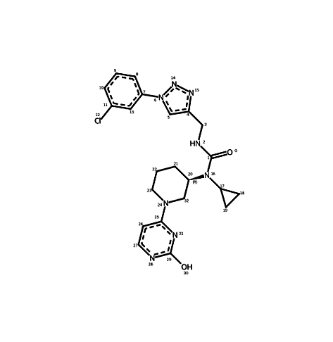 O=C(NCc1cn(-c2cccc(Cl)c2)nn1)N(C1CC1)[C@@H]1CCCN(c2ccnc(O)n2)C1